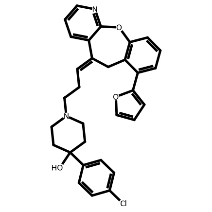 OC1(c2ccc(Cl)cc2)CCN(CCC=C2Cc3c(cccc3-c3ccco3)Oc3ncccc32)CC1